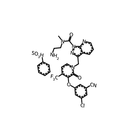 CN(CCN)C(=O)n1nc(Cn2ccc(C(F)(F)F)c(Oc3cc(Cl)cc(C#N)c3)c2=O)c2cccnc21.O=S(=O)(O)c1ccccc1